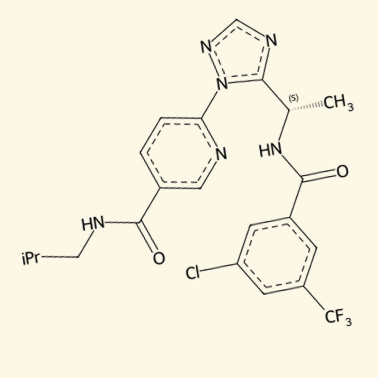 CC(C)CNC(=O)c1ccc(-n2ncnc2[C@H](C)NC(=O)c2cc(Cl)cc(C(F)(F)F)c2)nc1